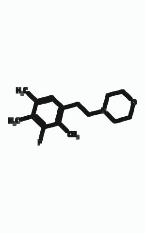 Cc1cc(CCN2CCOCC2)c(C)c(F)c1C